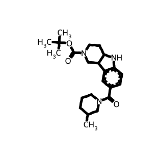 CC1CCCN(C(=O)c2ccc3c(c2)C2CN(C(=O)OC(C)(C)C)CCC2N3)C1